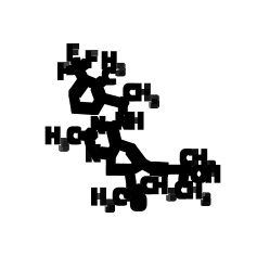 Cc1nc(NC(C)c2cccc(C(F)(F)F)c2C)c2cc(C#CC(C)(C)O)c(P(C)(C)=O)cc2n1